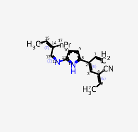 C=C/C(=C\C(C#N)=C/C)c1ccc(/N=C\C(=C/C)CCC)[nH]1